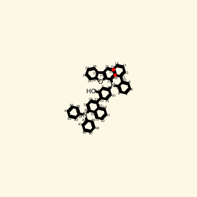 Oc1cc(N(c2ccccc2-c2ccccc2)c2cccc3c2OC2C=CC=CC32)ccc1-c1ccc(N(c2ccccc2)c2ccccc2)c2ccccc12